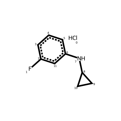 Cl.Fc1cccc(NC2CC2)c1